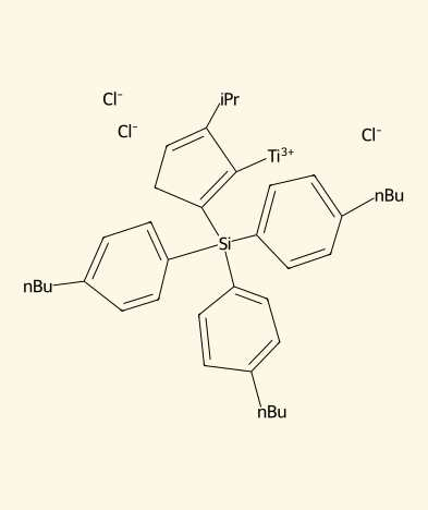 CCCCc1ccc([Si](C2=[C]([Ti+3])C(C(C)C)=CC2)(c2ccc(CCCC)cc2)c2ccc(CCCC)cc2)cc1.[Cl-].[Cl-].[Cl-]